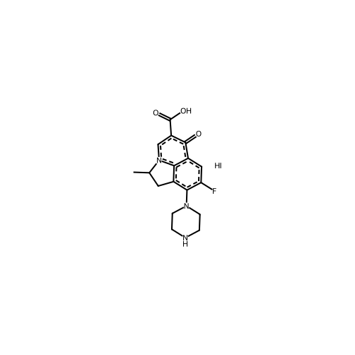 CC1Cc2c(N3CCNCC3)c(F)cc3c(=O)c(C(=O)O)cn1c23.I